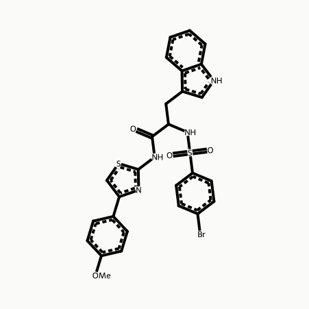 COc1ccc(-c2csc(NC(=O)C(Cc3c[nH]c4ccccc34)NS(=O)(=O)c3ccc(Br)cc3)n2)cc1